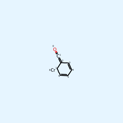 O=C=C1C=CC=CC1.[Cr]